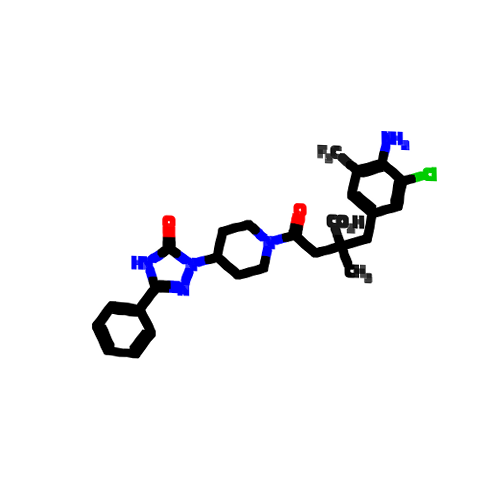 CC(CC(=O)N1CCC(n2nc(-c3ccccc3)[nH]c2=O)CC1)(Cc1cc(Cl)c(N)c(C(F)(F)F)c1)C(=O)O